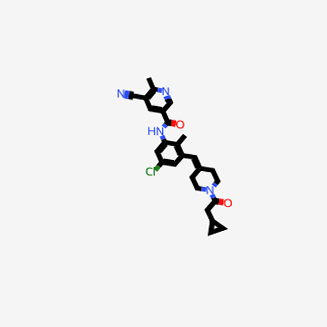 Cc1ncc(C(=O)Nc2cc(Cl)cc(C=C3CCN(C(=O)CC4CC4)CC3)c2C)cc1C#N